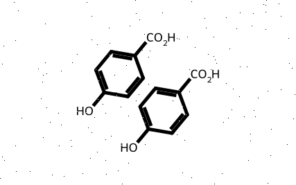 O=C(O)c1ccc(O)cc1.O=C(O)c1ccc(O)cc1